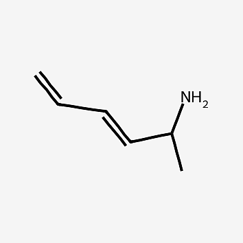 C=C/C=C/C(C)N